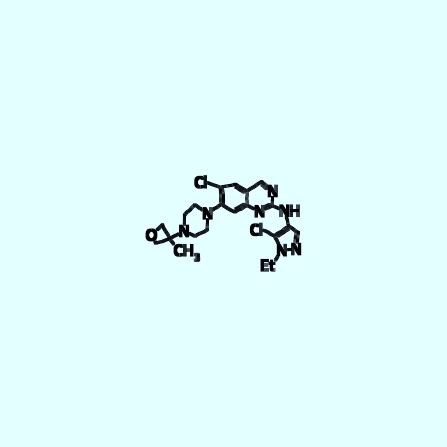 CCn1ncc(Nc2ncc3cc(Cl)c(N4CCN(C5(C)COC5)CC4)cc3n2)c1Cl